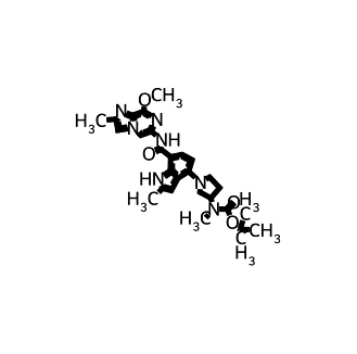 COc1nc(NC(=O)c2ccc(N3CCC(N(C)C(=O)OC(C)(C)C)C3)c3cc(C)[nH]c23)cn2cc(C)nc12